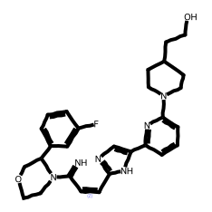 N=C(/C=C\c1ncc(-c2cccc(N3CCC(CCO)CC3)n2)[nH]1)N1CCOCC1c1cccc(F)c1